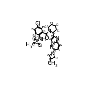 CC1CN(c2ccc3nc([C@@H]4CCCCN4C(=O)c4cc(Cl)ccc4NS(C)(=O)=O)cn3n2)C1